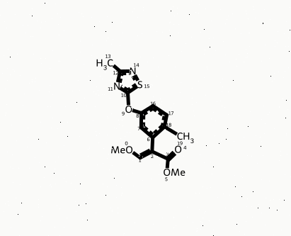 CO/C=C(/C(=O)OC)c1cc(Oc2nc(C)ns2)ccc1C